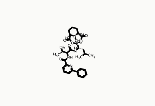 CC(C)C[C@H](NC(=O)C(NC(=O)c1cccc(-c2ccccc2)n1)[C@@H](C)O)B1OC(=O)[C@H]2CCC[C@@H](C(=O)O1)N2C